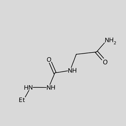 CCNNC(=O)NCC(N)=O